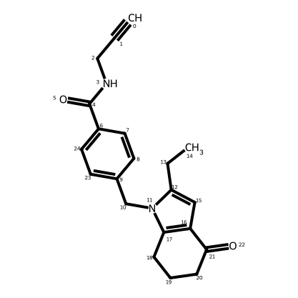 C#CCNC(=O)c1ccc(Cn2c(CC)cc3c2CCCC3=O)cc1